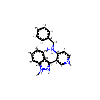 Cn1nc(-c2cnccc2NCc2ccccc2)c2ccccc21